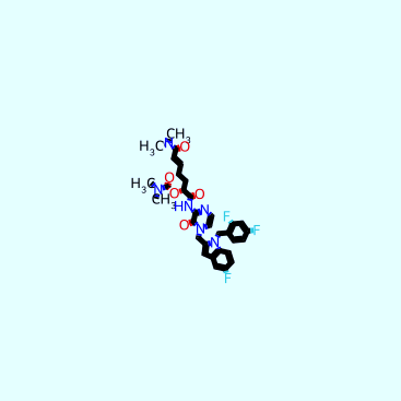 CN(C)C(=O)/C=C/CCC(OC(=O)N(C)C)C(=O)Nc1nccn(Cc2cc3cc(F)ccc3n2Cc2ccc(F)cc2F)c1=O